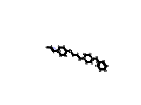 C/C=C/N1CCC(OCCCN2CCN(Cc3ccccc3)CC2)CC1